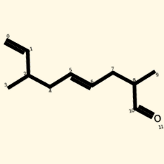 C=CC(C)C/C=C/CC(C)C=O